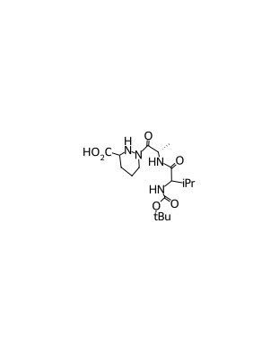 CC(C)C(NC(=O)OC(C)(C)C)C(=O)N[C@@H](C)C(=O)N1CCCC(C(=O)O)N1